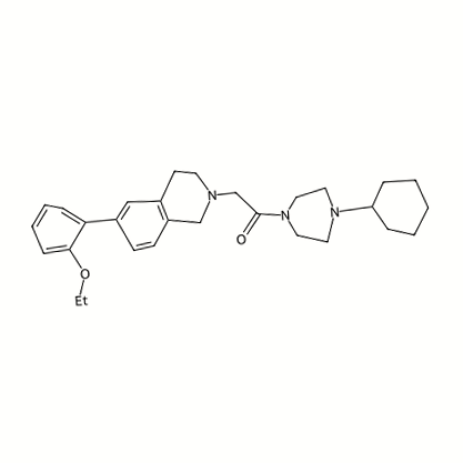 CCOc1ccccc1-c1ccc2c(c1)CCN(CC(=O)N1CCN(C3CCCCC3)CC1)C2